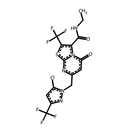 CCNC(=O)c1c(C(F)(F)F)sc2nc(Cn3nc(C(F)(F)F)cc3Cl)cc(=O)n12